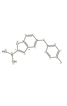 Cc1ccc(Cc2ccc3oc(B(O)O)cc3c2)cc1